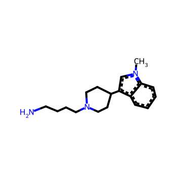 Cn1cc(C2CCN(CCCCN)CC2)c2ccccc21